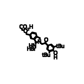 Br.CC(C)(C)c1cc(C(=O)CN2Cc3ccc(COCC(=O)O)cc3C2=N)cc(C(C)(C)C)c1O